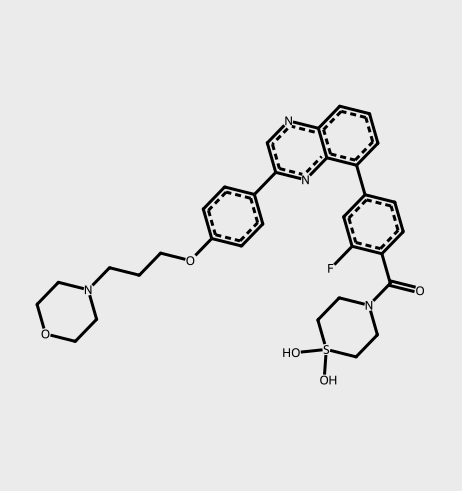 O=C(c1ccc(-c2cccc3ncc(-c4ccc(OCCCN5CCOCC5)cc4)nc23)cc1F)N1CCS(O)(O)CC1